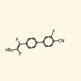 CCCC/C(F)=C(\F)c1ccc(-c2ccc(C#N)c(F)c2)cc1